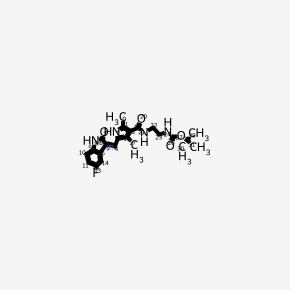 Cc1[nH]c(/C=C2\C(=O)Nc3ccc(F)cc32)c(C)c1C(=O)NCCNC(=O)OC(C)(C)C